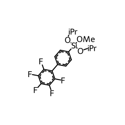 CO[Si](OC(C)C)(OC(C)C)c1ccc(-c2c(F)c(F)c(F)c(F)c2F)cc1